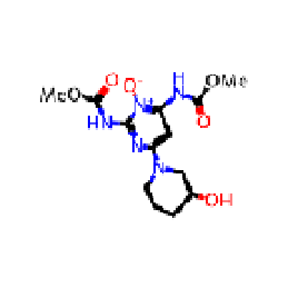 COC(=O)Nc1cc(N2CCCC(O)C2)nc(NC(=O)OC)[n+]1[O-]